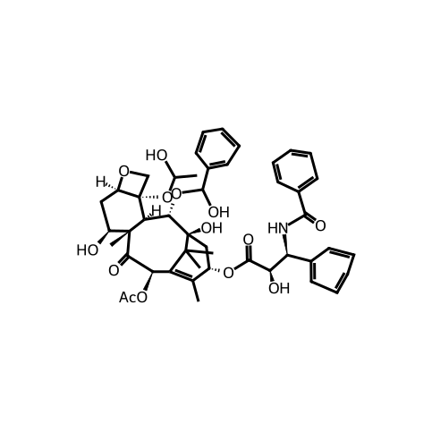 CC(=O)O[C@H]1C(=O)[C@@]2(C)[C@H]([C@H](OC(O)c3ccccc3)[C@]3(O)C[C@H](OC(=O)[C@H](O)[C@@H](NC(=O)c4ccccc4)c4ccccc4)C(C)=C1C3(C)C)[C@]1(OC(C)O)CO[C@@H]1C[C@@H]2O